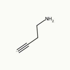 [C]#CCCN